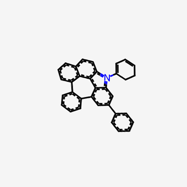 C1=CCCC(n2c3cc(-c4ccccc4)cc4c3c3c5c(cccc5ccc32)-c2ccccc2-4)=C1